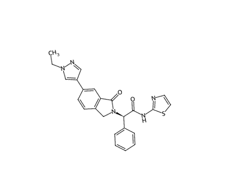 CCn1cc(-c2ccc3c(c2)C(=O)N([C@@H](C(=O)Nc2nccs2)c2ccccc2)C3)cn1